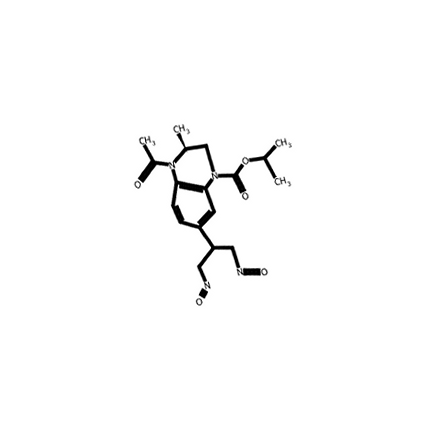 CC(=O)N1c2ccc(C(CN=O)CN=O)cc2N(C(=O)OC(C)C)C[C@@H]1C